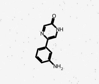 Nc1cccc(-c2c[nH]c(=O)cn2)c1